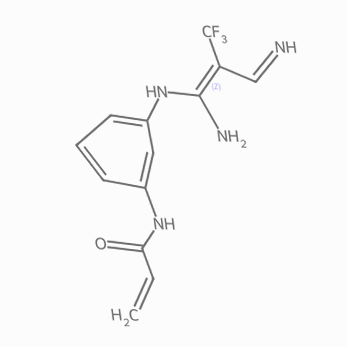 C=CC(=O)Nc1cccc(N/C(N)=C(/C=N)C(F)(F)F)c1